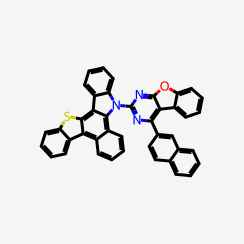 c1ccc2cc(-c3nc(-n4c5ccccc5c5c6sc7ccccc7c6c6ccccc6c54)nc4oc5ccccc5c34)ccc2c1